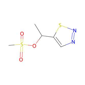 CC(OS(C)(=O)=O)c1cnns1